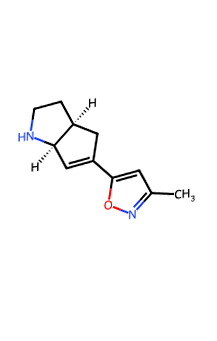 Cc1cc(C2=C[C@H]3NCC[C@H]3C2)on1